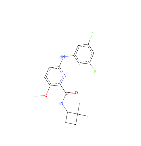 COc1ccc(Nc2cc(F)cc(F)c2)nc1C(=O)NC1CCC1(C)C